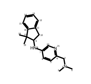 CN(C)Cc1ccc(NC2Cc3ccccc3C2(C)C)cn1